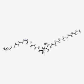 CCCCCCCC/C=C\CCCCCCCC(=O)OC(=O)C(O)CCCCCCCCCCCCCC